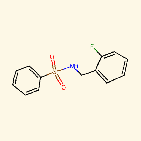 O=S(=O)(NCc1ccccc1F)c1ccccc1